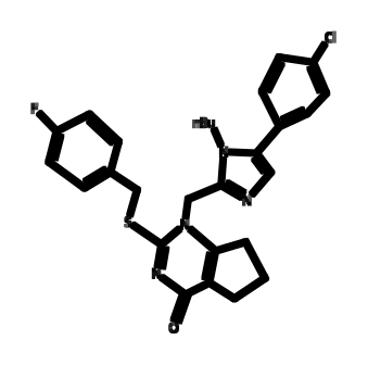 CCCCn1c(-c2ccc(Cl)cc2)cnc1Cn1c(SCc2ccc(F)cc2)nc(=O)c2c1CCC2